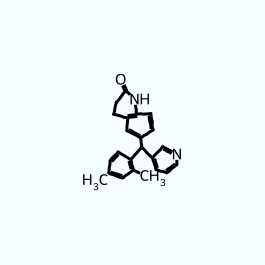 Cc1ccc(C(c2cccnc2)c2ccc3c(c2)CCC(=O)N3)c(C)c1